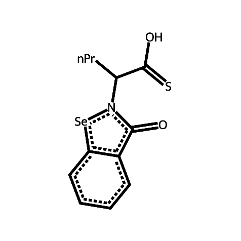 CCCC(C(O)=S)n1[se]c2ccccc2c1=O